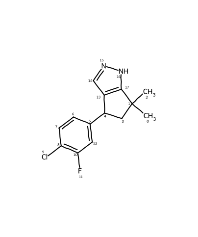 CC1(C)CC(c2ccc(Cl)c(F)c2)c2cn[nH]c21